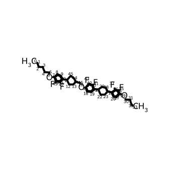 CCCCCCOc1ccc(C2CCC(COc3ccc(C4CCC(c5ccc(OCCCC)c(F)c5F)CC4)c(F)c3F)CC2)c(F)c1F